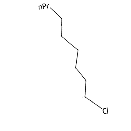 CCCCCCCC[CH]Cl